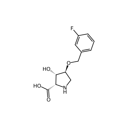 O=C(O)[C@H]1NC[C@H](OCc2cccc(F)c2)[C@H]1O